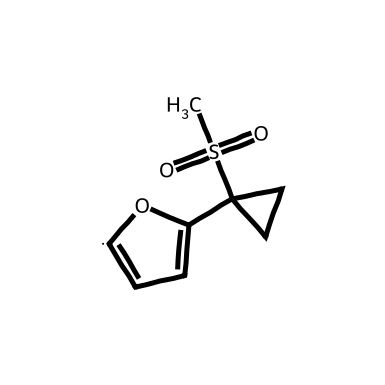 CS(=O)(=O)C1(c2cc[c]o2)CC1